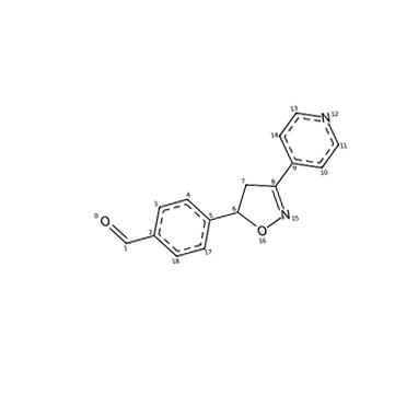 O=[C]c1ccc(C2CC(c3ccncc3)=NO2)cc1